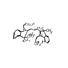 CC1(C)C(/C=C/C=C2/N(CC(=O)O)c3ccccc3C2(C)C)=[N+](CC(=O)O)c2ccccc21